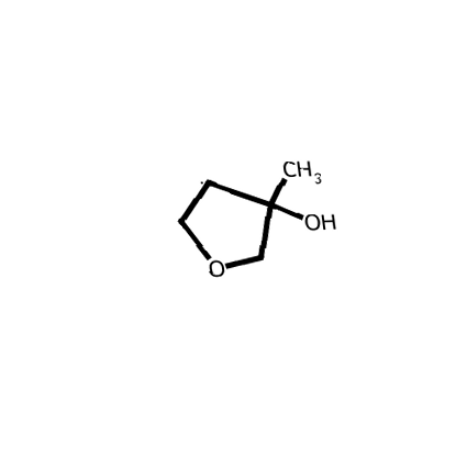 CC1(O)[CH]COC1